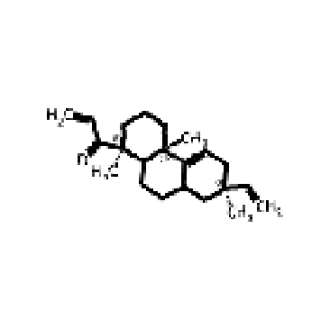 C=CC(=O)[C@@]1(C)CCC[C@]2(C)C3=CC[C@@](C)(C=C)CC3CCC12